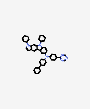 c1ccc(-c2ccc(N(c3ccc(-c4ncncn4)cc3)c3ccc4c(c3)c3cc5ccn(-c6ccccc6)c5cc3n4-c3ccccc3)cc2)cc1